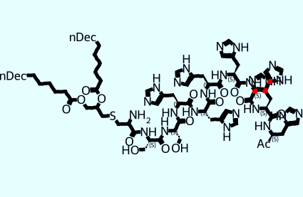 CCCCCCCCCCCCCCCC(=O)OCC(CSCC(N)C(=O)N[C@@H](CO)C(=O)N[C@@H](CO)C(=O)N[C@@H](Cc1cnc[nH]1)C(=O)N[C@@H](Cc1cnc[nH]1)C(=O)N[C@@H](Cc1cnc[nH]1)C(=O)N[C@@H](Cc1cnc[nH]1)C(=O)N[C@@H](Cc1cnc[nH]1)C(=O)N[C@@H](Cc1cnc[nH]1)C(=O)N[C@@H](Cc1cnc[nH]1)C(C)=O)OC(=O)CCCCCCCCCCCCCCC